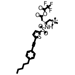 CCCCCc1ccc(C#Cc2ccc(S(=O)(=O)N[C@H](CC(=O)OC(=O)C(F)(F)F)C[N+](C)(C)C)s2)cc1